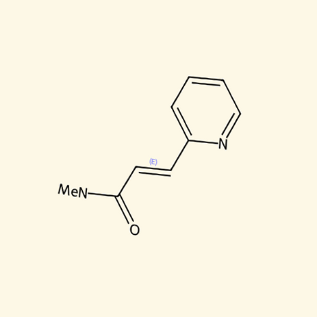 CNC(=O)/C=C/c1ccccn1